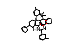 CC1C=CC=C(C2=NC(C3=CCCC=C3)=NC(C3=C(N4C5C=CC=CC5[Si](C)(C)C5CC(C)C=CC54)CCC(C4=CC=CCC4)C3)N2)C1